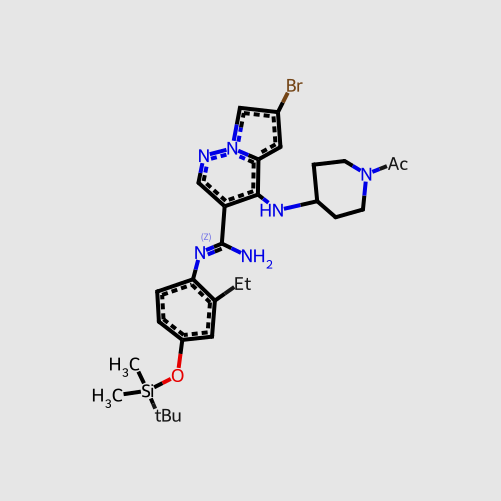 CCc1cc(O[Si](C)(C)C(C)(C)C)ccc1/N=C(\N)c1cnn2cc(Br)cc2c1NC1CCN(C(C)=O)CC1